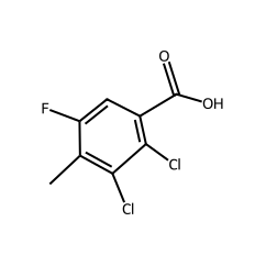 Cc1c(F)cc(C(=O)O)c(Cl)c1Cl